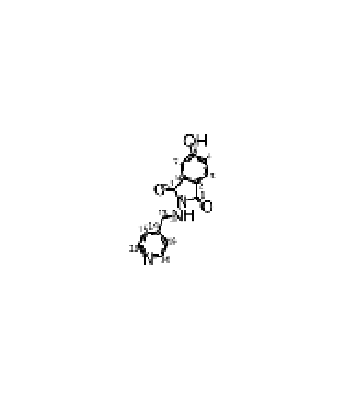 O=C1c2ccc(O)cc2C(=O)N1NCc1ccncc1